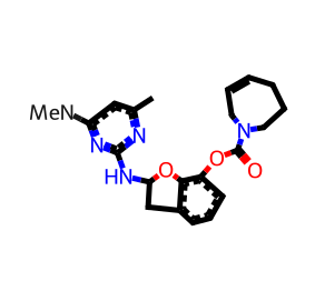 CNc1cc(C)nc(NC2Cc3cccc(OC(=O)N4CC=CCCC4)c3O2)n1